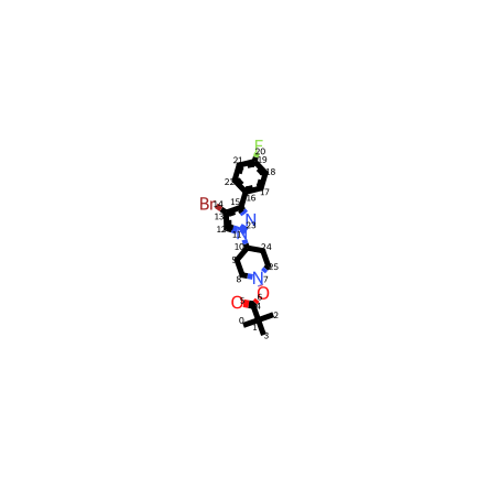 CC(C)(C)C(=O)ON1CCC(n2cc(Br)c(-c3ccc(F)cc3)n2)CC1